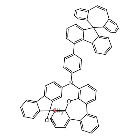 CC1(C)c2ccccc2-c2ccc(N(c3ccc(-c4cccc5c4-c4ccccc4C54c5ccccc5C=Cc5ccccc54)cc3)c3cccc4c3Oc3ccccc3-c3ccccc3-4)cc21